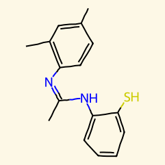 C/C(=N/c1ccc(C)cc1C)Nc1ccccc1S